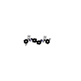 Fc1cccc(N/N=C/c2ccc(-c3cccc(/C=N/Nc4cccc(F)c4)c3)cc2)c1